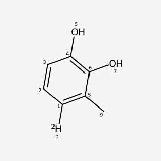 [2H]c1ccc(O)c(O)c1C